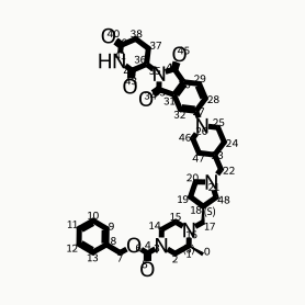 C[C@H]1CN(C(=O)OCc2ccccc2)CCN1C[C@H]1CCN(CC2CCN(c3ccc4c(c3)C(=O)N(C3CCC(=O)NC3=O)C4=O)CC2)C1